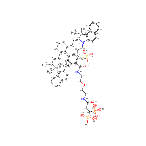 Cc1ccc2ccccc2c1C(C)(C)C(C)/C=C/C1=C(c2ccc(C(=O)NCCOCCNC(=O)CC(P(=O)(O)O)P(=O)(O)O)cc2)C(C/C=C2\N(CCCCS(=O)(=O)O)c3ccc4ccccc4c3C2(C)C)CCC1